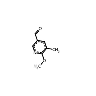 COc1ncc(C=O)cc1C